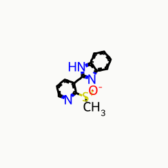 C[S+]([O-])c1ncccc1-c1nc2ccccc2[nH]1